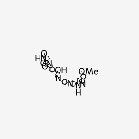 COc1ccc2cnc(NC3CCN(c4ccc(CN5CCC(O)(c6ccc7c(c6)CN(C6CCC(=O)NC6=O)C7=O)CC5)cc4)CC3)nc2c1